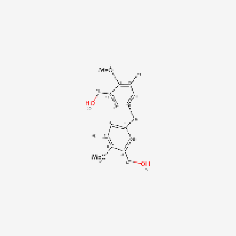 COc1c(C)cc(Cc2cc(C)c(OC)c(CO)c2)cc1CO